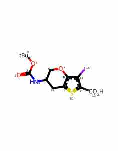 CC(C)(C)OC(=O)NC1COc2c(sc(C(=O)O)c2I)C1